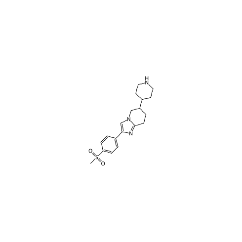 CS(=O)(=O)c1ccc(-c2cn3c(n2)CCC(C2CCNCC2)C3)cc1